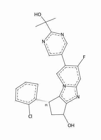 CC(C)(O)c1ncc(-c2cn3c4c(nc3cc2F)C(O)C[C@@H]4c2ccccc2Cl)cn1